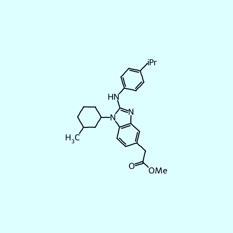 COC(=O)Cc1ccc2c(c1)nc(Nc1ccc(C(C)C)cc1)n2C1CCCC(C)C1